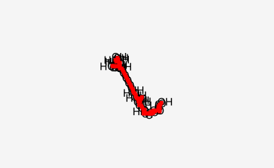 COc1cc2c(c(F)c1OCCCOc1c(OC)cc3sc(C(=O)CCC(=O)O[C@@H](C)CNC(=O)CCOCCNC(=O)CC[C@H](NC(=O)CN4C(=O)C=CC4=O)C(=O)NCC(=O)NCC(=O)NCC(=O)NCC(=O)NCCOCCOCCOCCOCCOCCOCCOCCOCCC(=O)N[C@@H](CCC(=O)NC[C@H](O)[C@@H](O)[C@H](O)[C@H](O)CO)C(=O)NC[C@H](O)[C@@H](O)[C@H](O)[C@H](O)CO)cc3c1F)CN(C(=O)CCC(=O)O)C2